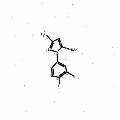 CNc1cc(C(F)(F)F)nn1-c1ccc(F)c(F)c1